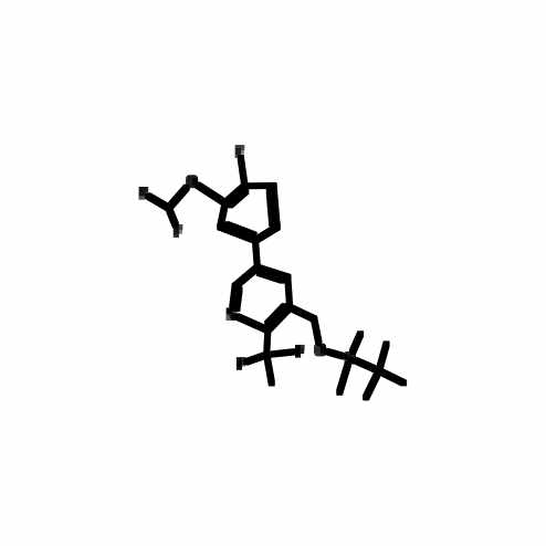 CC(F)(F)c1ncc(-c2ccc(F)c(OC(F)F)c2)cc1CO[Si](C)(C)C(C)(C)C